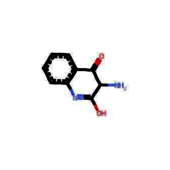 NC1C(=O)c2ccccc2N=C1O